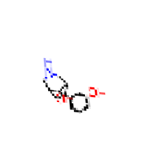 Oc1cccc(C2(O)C3CCC2CNC3)c1